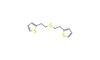 c1csc(CCSCCc2cccs2)c1